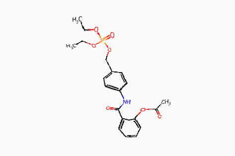 CCOP(=O)(OCC)OCc1ccc(NC(=O)c2ccccc2OC(C)=O)cc1